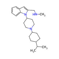 CNCc1cc2ccccc2n1C1CCN(C2CCC(C(C)C)CC2)CC1